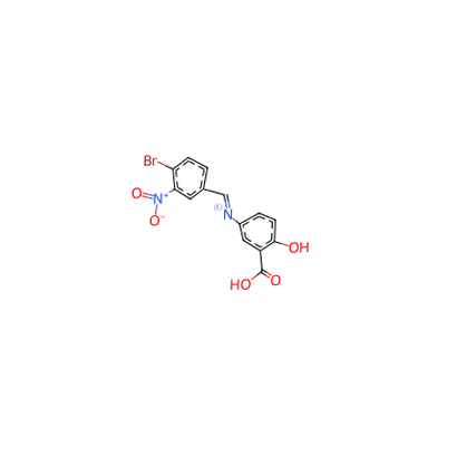 O=C(O)c1cc(/N=C/c2ccc(Br)c([N+](=O)[O-])c2)ccc1O